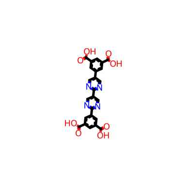 O=C(O)c1cc(C(=O)O)cc(-c2cnc(-c3cnc(-c4cc(C(=O)O)cc(C(=O)O)c4)nc3)nc2)c1